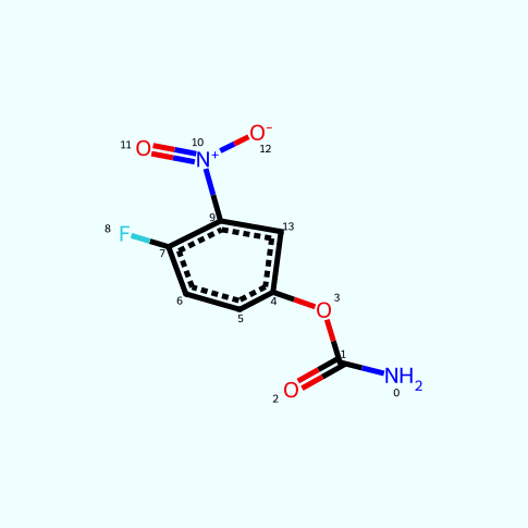 NC(=O)Oc1ccc(F)c([N+](=O)[O-])c1